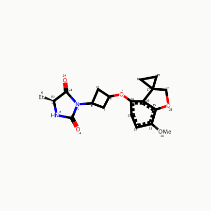 CC[C@@H]1NC(=O)N(C2CC(Oc3ccc(OC)c4c3C3(CC3)CO4)C2)C1=O